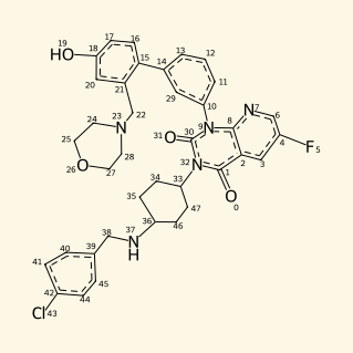 O=c1c2cc(F)cnc2n(-c2cccc(-c3ccc(O)cc3CN3CCOCC3)c2)c(=O)n1C1CCC(NCc2ccc(Cl)cc2)CC1